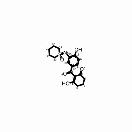 O=C1CCCC(O)=C1C(=O)c1ccc(O)c(N=S2(=O)CCCCC2)c1